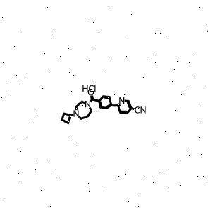 Cl.N#Cc1ccc(-c2ccc(C(=O)N3CCCN(C4CCC4)CC3)cc2)nc1